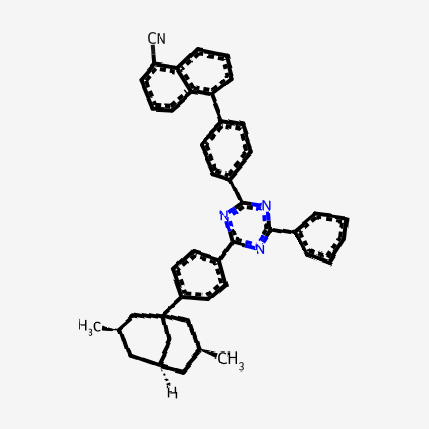 C[C@@H]1C[C@@H]2C[C@H](C)CC(c3ccc(-c4nc(-c5ccccc5)nc(-c5ccc(-c6cccc7c(C#N)cccc67)cc5)n4)cc3)(C1)C2